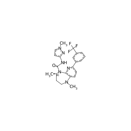 C[C@@H]1CCN(C)c2ccc(-c3cccc(C(F)(F)F)c3)nc2N1C(=O)Nc1ccn(C)n1